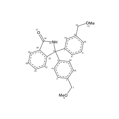 COCc1ccc(C2(c3cccc(COC)c3)NC(=O)c3ccccc32)cc1